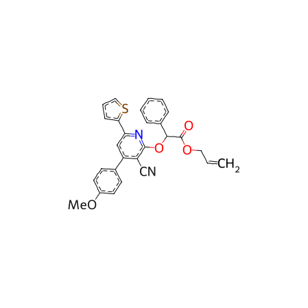 C=CCOC(=O)C(Oc1nc(-c2cccs2)cc(-c2ccc(OC)cc2)c1C#N)c1ccccc1